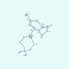 FC1(F)CCN(c2cc(Br)cn3nccc23)CC1